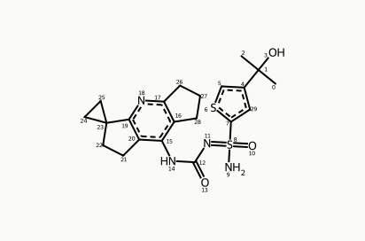 CC(C)(O)c1csc(S(N)(=O)=NC(=O)Nc2c3c(nc4c2CCC42CC2)CCC3)c1